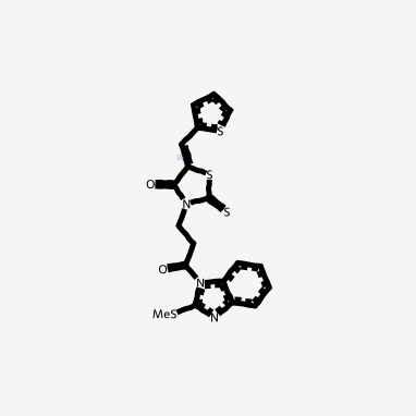 CSc1nc2ccccc2n1C(=O)CCN1C(=O)/C(=C/c2cccs2)SC1=S